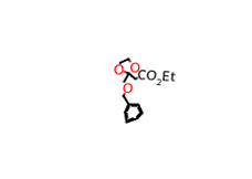 CCOC(=O)CC1(COCc2ccccc2)OCCO1